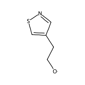 [O]CCc1cnsc1